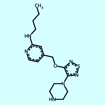 CCCCNc1cc(COc2nsnc2N2CCNCC2)ccn1